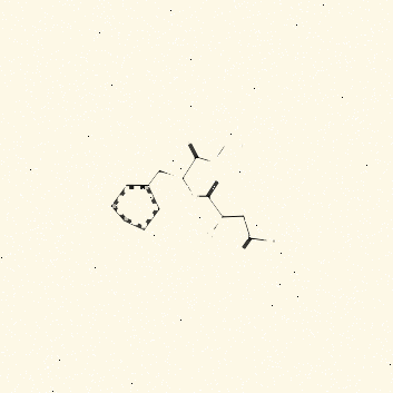 COC(=O)[C@H](Cc1ccccc1)NC(=O)[C@H](N)CC(=O)O